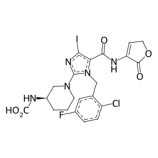 O=C(O)N[C@@H]1CCCN(c2nc(I)c(C(=O)NC3=CCOC3=O)n2Cc2cc(F)ccc2Cl)C1